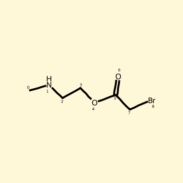 CNCCOC(=O)CBr